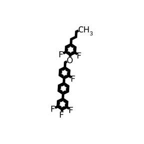 CCCCc1cc(F)c(OCc2ccc(-c3ccc(-c4cc(F)c(F)c(F)c4)cc3)c(F)c2)c(F)c1